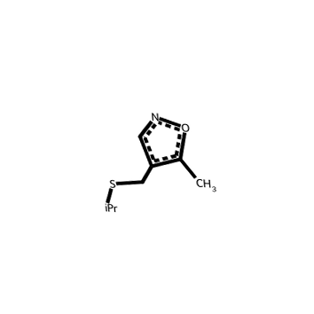 Cc1oncc1CSC(C)C